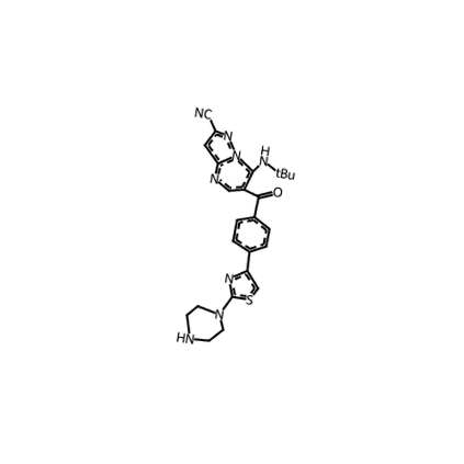 CC(C)(C)Nc1c(C(=O)c2ccc(-c3csc(N4CCNCC4)n3)cc2)cnc2cc(C#N)nn12